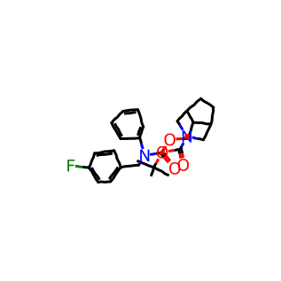 CC(C)(C)OC(=O)N1CC2CCC(C1)C2COC(=O)N(Cc1ccc(F)cc1)c1ccccc1